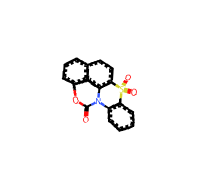 O=C1Oc2cccc3ccc4c(c23)N1c1ccccc1S4(=O)=O